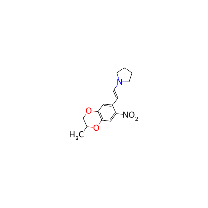 CC1COc2cc(/C=C/N3CCCC3)c([N+](=O)[O-])cc2O1